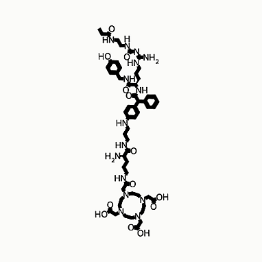 CCC(=O)NCCNC(=O)/N=C(/N)NCCC[C@@H](NC(=O)C(c1ccccc1)c1ccc(NCCCNC(=O)[C@H](N)CCCNC(=O)CN2CCN(CC(=O)O)CCN(CC(=O)O)CCN(CC(=O)O)CC2)cc1)C(=O)NCc1ccc(O)cc1